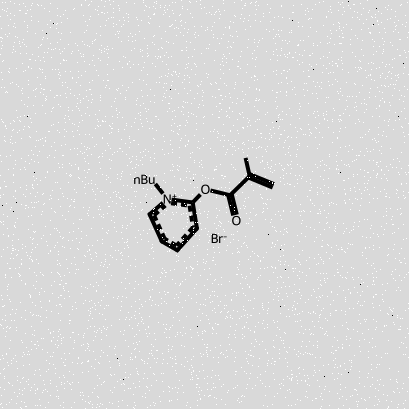 C=C(C)C(=O)Oc1cccc[n+]1CCCC.[Br-]